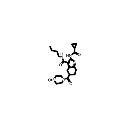 CCCCNC(=O)c1c(NC(=O)C2CC2)sc2c1CC(C(=O)N1CC[S+]([O-])CC1)CC2